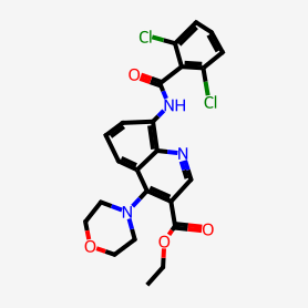 CCOC(=O)c1cnc2c(NC(=O)c3c(Cl)cccc3Cl)cccc2c1N1CCOCC1